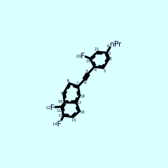 CCCc1ccc(C#Cc2ccc3c(F)c(F)ccc3c2)c(F)c1